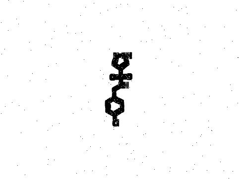 O=S(=O)(NCc1ccc(Cl)cc1)c1cn[nH]c1